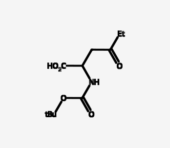 CCC(=O)CC(NC(=O)OC(C)(C)C)C(=O)O